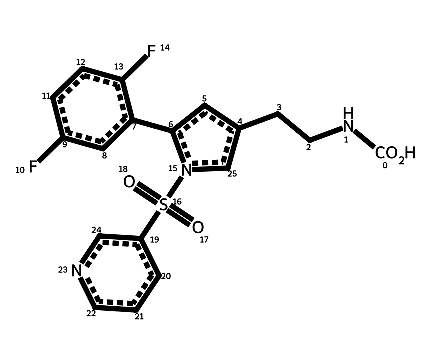 O=C(O)NCCc1cc(-c2cc(F)ccc2F)n(S(=O)(=O)c2cccnc2)c1